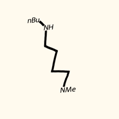 [CH2]CCCNCCCCNC